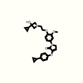 COc1cc(N2CC=C(Oc3ccc(C4CC4)cc3)C2=O)ccc1OCCN1CC(O)(C2CC2)C1